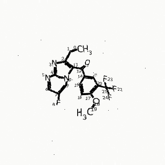 CCc1nc2ncc(F)cn2c1C(=O)c1ccc(OC)c(C(F)(F)F)c1